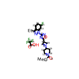 CCc1nn(-c2noc(C3CN(C4CCN(C(=O)OC)CC4)C3)n2)c2cc(F)ccc12.O=C(O)C(F)(F)F